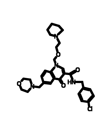 O=C(NCc1ccc(Cl)cc1)c1cn(COCCN2CCCCC2)c2ccc(CN3CCOCC3)cc2c1=O